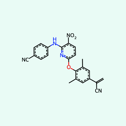 C=C(C#N)c1cc(C)c(Oc2ccc([N+](=O)[O-])c(Nc3ccc(C#N)cc3)n2)c(C)c1